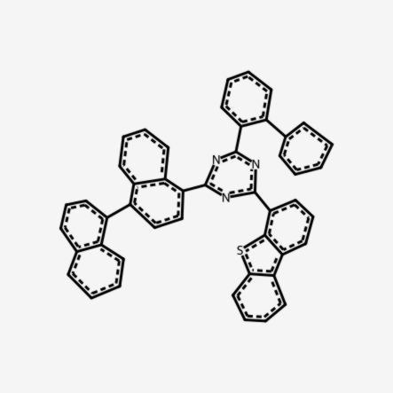 c1ccc(-c2ccccc2-c2nc(-c3ccc(-c4cccc5ccccc45)c4ccccc34)nc(-c3cccc4c3sc3ccccc34)n2)cc1